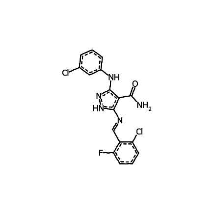 NC(=O)c1c(Nc2cccc(Cl)c2)n[nH]c1/N=C/c1c(F)cccc1Cl